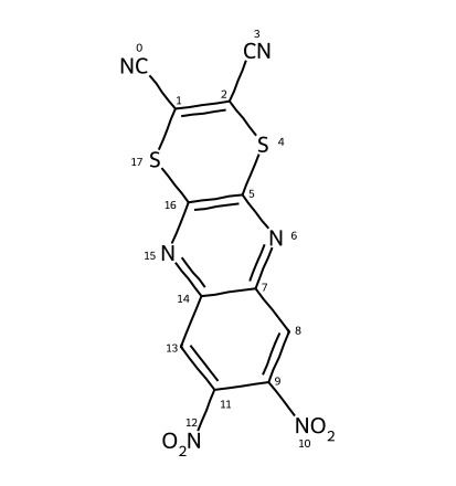 N#CC1=C(C#N)Sc2nc3cc([N+](=O)[O-])c([N+](=O)[O-])cc3nc2S1